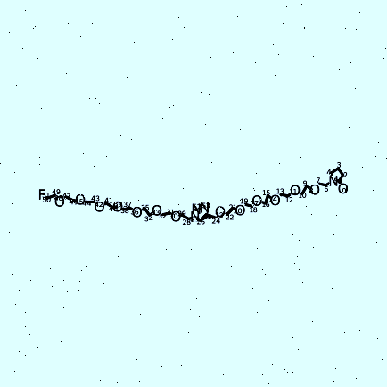 O=C1CCCN1CCOCCOCCOCCOCCOCCOCc1cn(CCOCCOCCOCCOCCOCCOCCOCCF)nn1